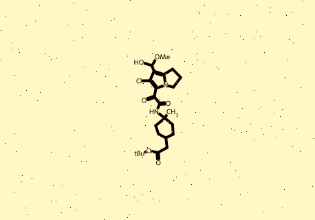 COC(O)c1c(Cl)c(C(=O)C(=O)NC2(C)CCC(CC(=O)OC(C)(C)C)CC2)n2c1CCC2